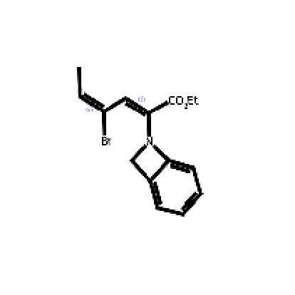 C/C=C(Br)\C=C(\C(=O)OCC)N1Cc2ccccc21